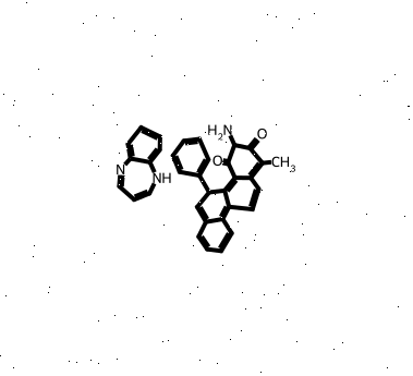 C1=CNc2ccccc2N=C1.CC1=c2ccc3c(c2C(=O)C(N)C1=O)C(c1ccccc1)C=c1ccccc1=3